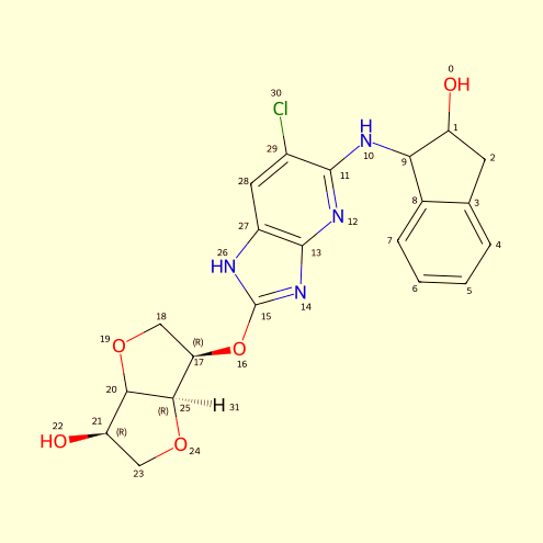 OC1Cc2ccccc2C1Nc1nc2nc(O[C@@H]3COC4[C@H](O)CO[C@@H]43)[nH]c2cc1Cl